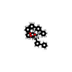 c1ccc(-c2cccc(-c3nc(-c4ccccc4)nc(-n4c5ccccc5c5ccc6c7ccccc7n(-c7ccccc7-c7ccccc7)c6c54)n3)c2)cc1